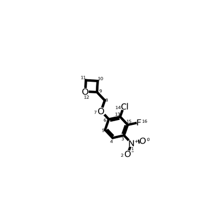 O=[N+]([O-])c1ccc(OCC2CCO2)c(Cl)c1F